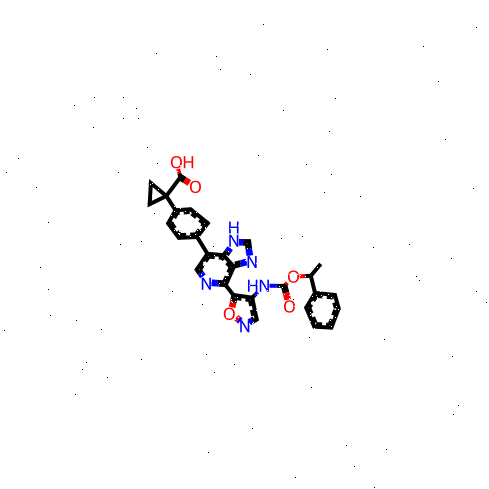 CC(OC(=O)Nc1cnoc1-c1ncc(-c2ccc(C3(C(=O)O)CC3)cc2)c2[nH]cnc12)c1ccccc1